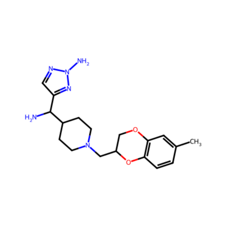 Cc1ccc2c(c1)OCC(CN1CCC(C(N)c3cnn(N)n3)CC1)O2